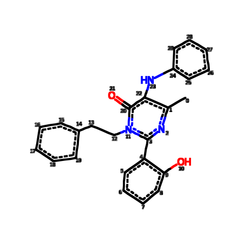 Cc1nc(-c2ccccc2O)n(CCc2ccccc2)c(=O)c1Nc1ccccc1